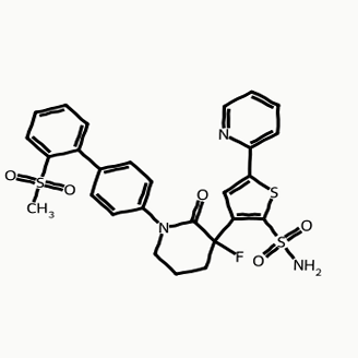 CS(=O)(=O)c1ccccc1-c1ccc(N2CCCC(F)(c3cc(-c4ccccn4)sc3S(N)(=O)=O)C2=O)cc1